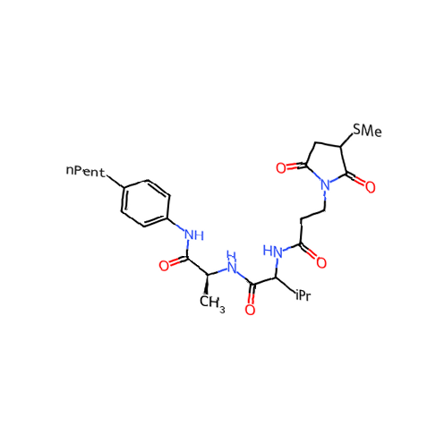 CCCCCc1ccc(NC(=O)[C@H](C)NC(=O)C(NC(=O)CCN2C(=O)CC(SC)C2=O)C(C)C)cc1